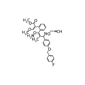 C#CCON=C(C(C)=C(ON)c1ccccc1C(=COC)C(=O)OC)c1ccc(OCc2ccc(F)cc2)cc1